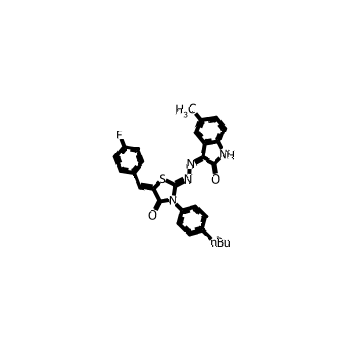 CCCCc1ccc(N2C(=O)C(=Cc3ccc(F)cc3)SC2=NN=C2C(=O)Nc3ccc(C)cc32)cc1